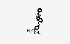 CC(C)N1CCC(OCc2cccc3c2nnn3OC(=O)c2ccccc2)CC1